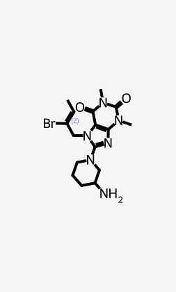 C/C=C(\Br)Cn1c(N2CCCC(N)C2)nc2c1c(=O)n(C)c(=O)n2C